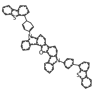 C1=CC(c2cccc3c2sc2ccccc23)CC=C1n1c2ccccc2c2c3oc4c(ccc5c4c4ccccc4n5-c4ccc(-c5cccc6c5sc5ccccc56)cc4)c3ccc21